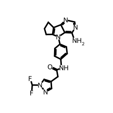 Nc1ncnc2c3c(n(-c4ccc(NC(=O)Cc5cnn(C(F)F)c5)cc4)c12)CCC3